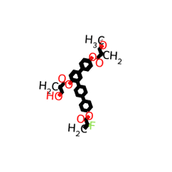 C=C(F)C(=O)OC1CCC(C2CCC(c3cc(-c4ccc(OC(=O)C(=C)COC)cc4)ccc3OC(=O)C(=C)CO)CC2)CC1